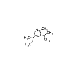 CCC(C)c1cnc(C)c(C(C)C)c1